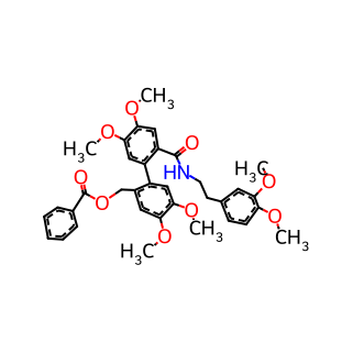 COc1ccc(CCNC(=O)c2cc(OC)c(OC)cc2-c2cc(OC)c(OC)cc2COC(=O)c2ccccc2)cc1OC